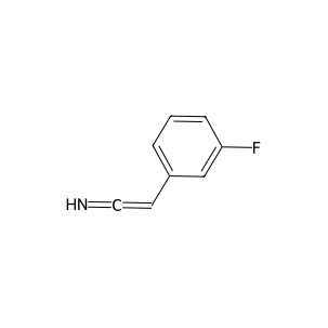 N=C=Cc1cccc(F)c1